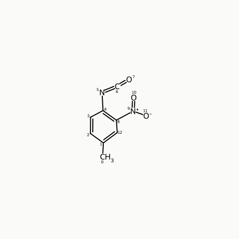 Cc1ccc(N=C=O)c([N+](=O)[O-])c1